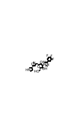 CO[C@@H]1[C@@H](n2cc(-c3cc(F)c(F)c(F)c3)nn2)[C@@H](O)[C@@H](CO)O[C@@H]1Cc1cc([C@@H]2CCNC2)on1